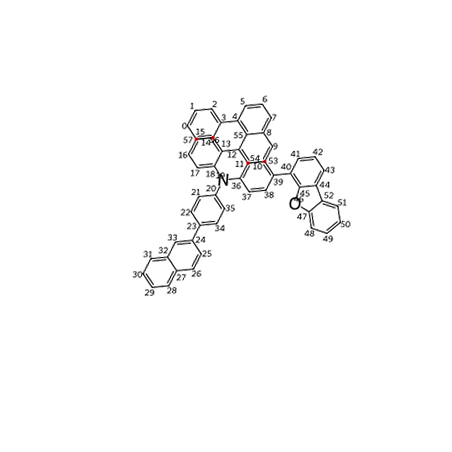 c1ccc(-c2cccc3cccc(-c4ccccc4N(c4ccc(-c5ccc6ccccc6c5)cc4)c4ccc(-c5cccc6c5oc5ccccc56)cc4)c23)cc1